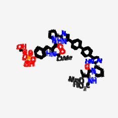 COC(=O)N[C@@H](Cc1ccc(OP(=O)(O)OOCO)cc1)C(=O)N1CCC[C@H]1c1ncc(-c2ccc(-c3ccc(-c4cnc([C@@H]5CCCN5C(=O)[C@@H](NC(=O)O)[C@@H](C)OC)[nH]4)cc3)cc2)[nH]1